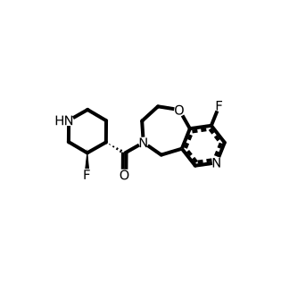 O=C([C@H]1CCNC[C@@H]1F)N1CCOc2c(F)cncc2C1